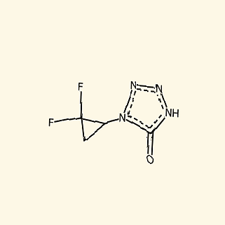 O=c1[nH]nnn1C1CC1(F)F